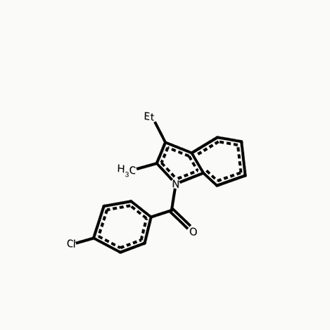 CCc1c(C)n(C(=O)c2ccc(Cl)cc2)c2ccccc12